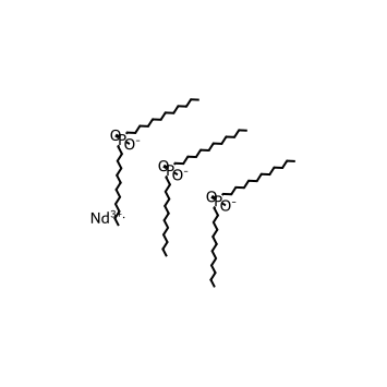 CCCCCCCCCCCCP(=O)([O-])CCCCCCCCCCCC.CCCCCCCCCCCCP(=O)([O-])CCCCCCCCCCCC.CCCCCCCCCCCCP(=O)([O-])CCCCCCCCCCCC.[Nd+3]